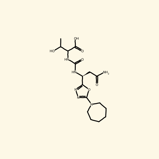 CC(O)C(NC(=O)N[C@@H](CC(N)=O)c1nnc(N2CCCCCC2)o1)C(=O)O